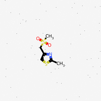 Cc1nc([CH]S(C)(=O)=O)cs1